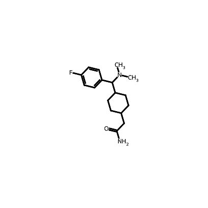 CN(C)C(c1ccc(F)cc1)C1CCC(CC(N)=O)CC1